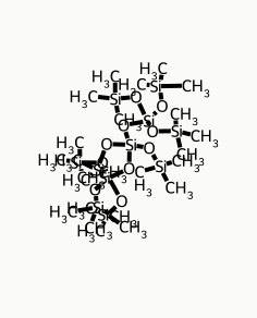 C[Si](C)(C)O[Si](O[Si](C)(C)C)(O[Si](C)(C)C)O[Si](O[Si](C)(C)C)(O[Si](C)(C)C)O[Si](O[Si](C)(C)C)(O[Si](C)(C)C)O[Si](C)(C)C